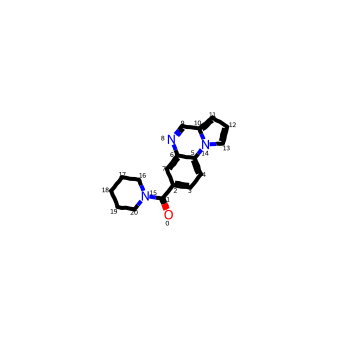 O=C(c1ccc2c(c1)ncc1cccn12)N1CCCCC1